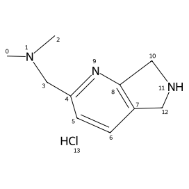 CN(C)Cc1ccc2c(n1)CNC2.Cl